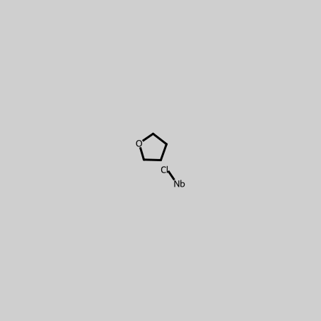 C1CCOC1.[Cl][Nb]